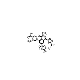 CC(C)C(=O)N1CCN(c2cc(S(=O)(=O)NC3(C)CC3)cc3c(-c4nnc(C(F)F)s4)nn(C)c(=O)c23)C[C@H]1C